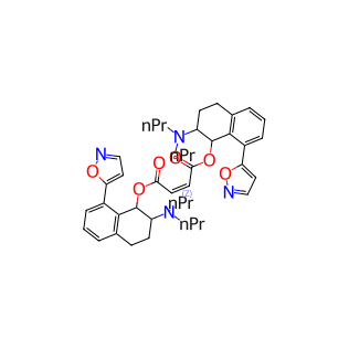 CCCN(CCC)C1CCc2cccc(-c3ccno3)c2C1OC(=O)/C=C\C(=O)OC1c2c(cccc2-c2ccno2)CCC1N(CCC)CCC